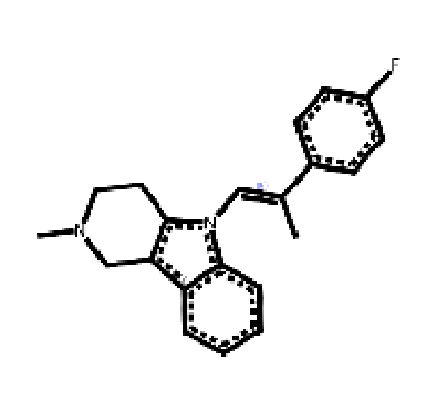 C/C(=C\n1c2c(c3ccccc31)CN(C)CC2)c1ccc(F)cc1